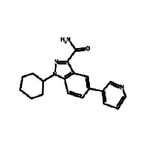 NC(=O)c1nn(C2CCCCC2)c2ccc(-c3cccnc3)cc12